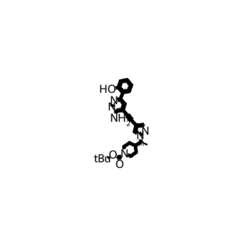 C[C@@H](C1CCN(C(=O)OC(C)(C)C)CC1)n1cc(C#Cc2cc(-c3ccccc3O)nnc2N)cn1